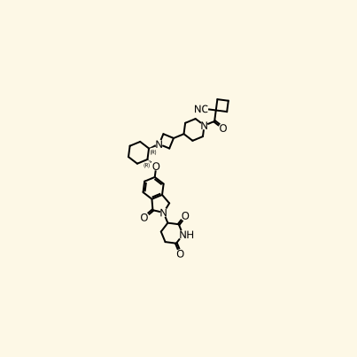 N#CC1(C(=O)N2CCC(C3CN([C@@H]4CCCC[C@H]4Oc4ccc5c(c4)CN(C4CCC(=O)NC4=O)C5=O)C3)CC2)CCC1